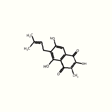 CC(C)=CCc1c(O)cc2c(c1O)C(=O)C(C)=C(O)C2=O